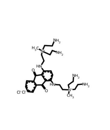 C[N+](CCN)(CCN)CCNc1ccc(NCC[N+](C)(CCN)CCN)c2c1C(=O)c1ccccc1C2=O.[Cl-].[Cl-]